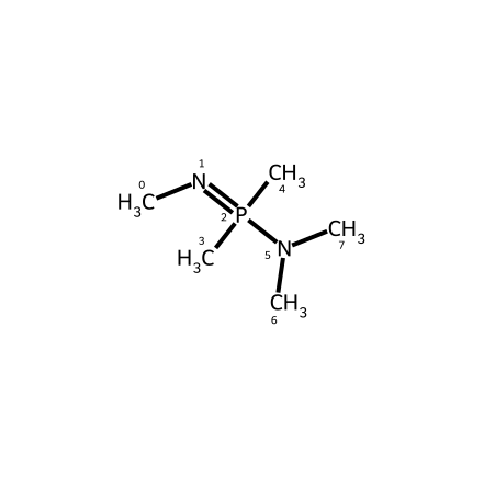 CN=P(C)(C)N(C)C